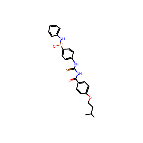 CC(C)CCOc1ccc(C(=O)NC(=S)Nc2ccc([S+]([O-])Nc3ccccc3)cc2)cc1